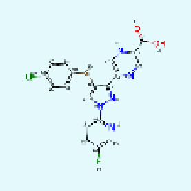 O=C(O)c1cnc(-c2nn(-c3ccc(F)cn3)cc2Sc2ccc(Cl)cc2)cn1